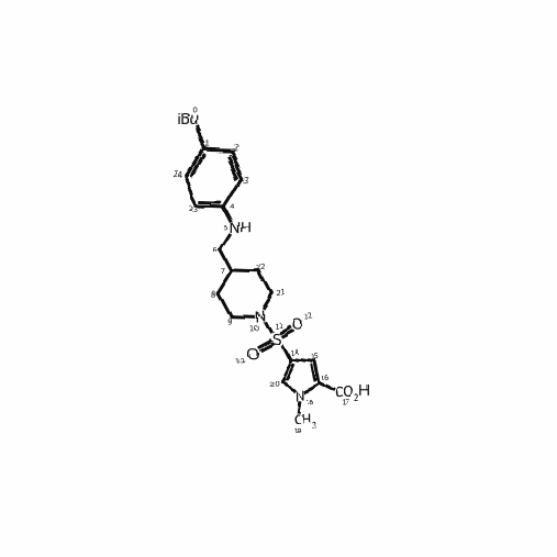 CCC(C)c1ccc(NCC2CCN(S(=O)(=O)c3cc(C(=O)O)n(C)c3)CC2)cc1